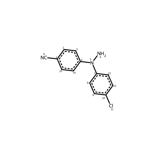 N#Cc1ccc(N(N)c2ccc(Cl)cc2)cc1